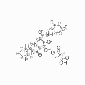 CC(C)(C(=O)O)C(=O)OCOc1c2n(cc(C(=O)NCc3ccc(F)cc3F)c1=O)C[C@@H]1N(C[C@H]3CCCN31)C2=O